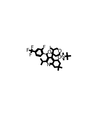 CC(C)c1nc2c(c3c1[C@@H](c1ccc(C(F)(F)F)cc1F)OC31CCOCC1I)[C@@H](O[Si](C)(C)C(C)(C)C)CC(C)(C)C2